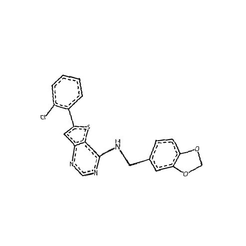 Clc1ccccc1-c1cc2ncnc(NCc3ccc4c(c3)OCO4)c2s1